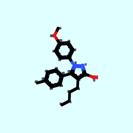 CCCCc1c(O)nn(-c2ccc(OC)cc2)c1-c1ccc(C)cc1